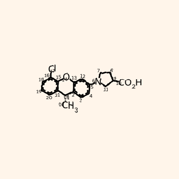 C[C@H]1c2ccc(N3CCC(C(=O)O)C3)cc2Oc2c(Cl)cccc21